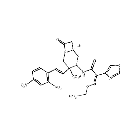 O=C(O)CON=C(C(=O)NC1S[C@@H]2CC(=O)N2CC1(C=Cc1ccc([N+](=O)[O-])cc1[N+](=O)[O-])C(=O)O)c1cscn1